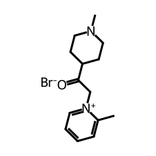 Cc1cccc[n+]1CC(=O)C1CCN(C)CC1.[Br-]